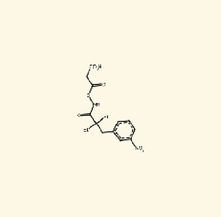 CCC(CC)(Cc1cccc([N+](=O)[O-])c1)C(=O)NOC(=O)CC(=O)O